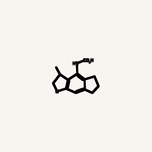 CC1COc2cc3c(c(NC(=O)O)c21)CCC3